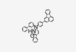 C1=CC(N(c2ccc(-c3cc4c5c(cccc5c3)-c3ccccc3-4)cc2)c2cccc(-c3ccccc3)c2)Nc2oc3ccccc3c21